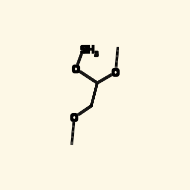 COCC(OC)O[SiH3]